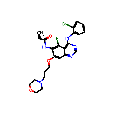 C=CC(=O)Nc1c(OCCCN2CCOCC2)cc2ncnc(Nc3ccccc3Br)c2c1F